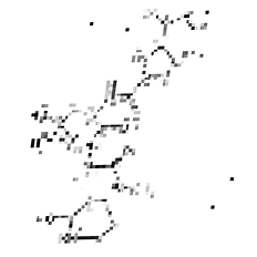 COC(=O)[C@H](C[C@@H]1CCCNC1=O)NC(=O)[C@H](CC(C)(C)C)NC(=O)c1cc2cccc(Cl)c2[nH]1